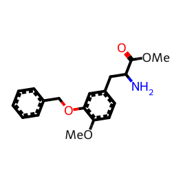 COC(=O)C(N)Cc1ccc(OC)c(OCc2ccccc2)c1